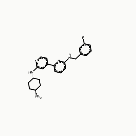 N[C@H]1CC[C@H](Nc2cc(-c3cccc(NCc4cccc(F)c4)n3)ccn2)CC1